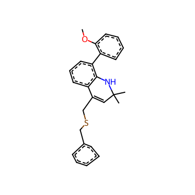 COc1ccccc1-c1cccc2c1NC(C)(C)C=C2CSCc1ccccc1